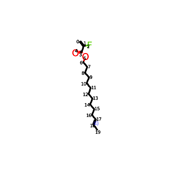 C=C(F)C(=O)OCCCCCCCCCCC/C=C/C